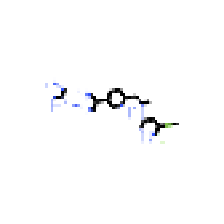 C=C(Cc1ccc(-c2cnc(Nc3cnn(C)c3)nc2)cc1)Nc1cnc(F)c(C(C)(F)F)c1